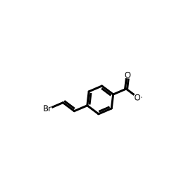 [O]C(=O)c1ccc(/C=C/Br)cc1